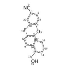 N#Cc1ccc(Oc2cccc3c(CO)cccc23)c(F)c1